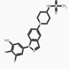 CS(=O)(=O)NC1CCN(c2ccc3c(cnn3-c3cc(O)c(F)c(F)c3)c2)CC1